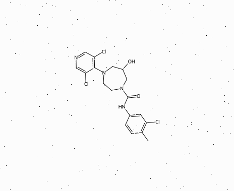 Cc1ccc(NC(=O)N2CCN(c3c(Cl)cncc3Cl)CC(O)C2)cc1Cl